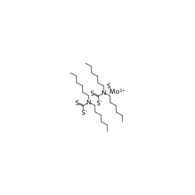 CCCCCCN(CCCCCC)C(=S)[S-].CCCCCCN(CCCCCC)C(=S)[S-].[S]=[Mo+2]